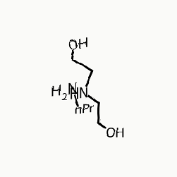 CCCN.OCCNCCO